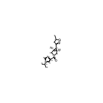 CC1CC(C2[C@H]3CN(C(=O)c4cn(C(C)C)cn4)C[C@@H]23)=NO1